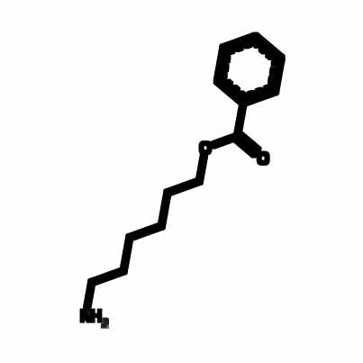 NCCCCCCOC(=O)c1ccccc1